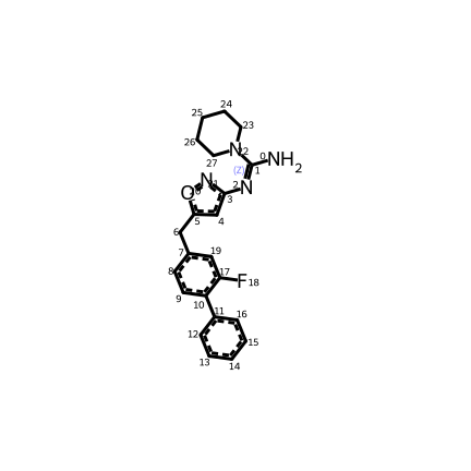 N/C(=N/c1cc(Cc2ccc(-c3ccccc3)c(F)c2)on1)N1CCCCC1